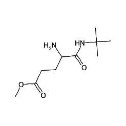 COC(=O)CCC(N)C(=O)NC(C)(C)C